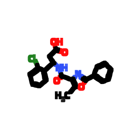 Cc1oc(-c2ccccc2)nc1C(=O)NC(CC(=O)O)c1ccccc1Cl